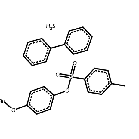 Cc1ccc(S(=O)(=O)Oc2ccc(OC(C)(C)C)cc2)cc1.S.c1ccc(-c2ccccc2)cc1